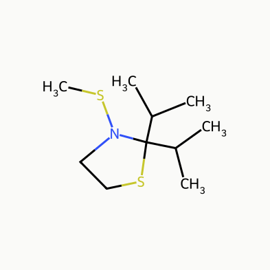 CSN1CCSC1(C(C)C)C(C)C